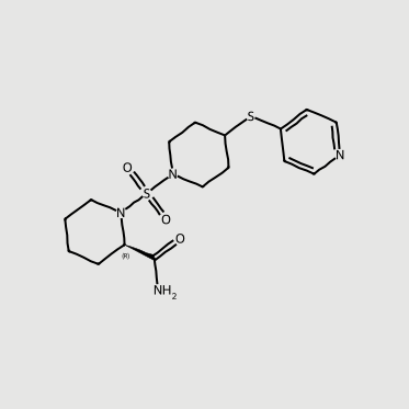 NC(=O)[C@H]1CCCCN1S(=O)(=O)N1CCC(Sc2ccncc2)CC1